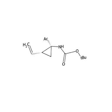 C=C[C@H]1C[C@@]1(NC(=O)OC(C)(C)C)C(C)=O